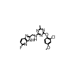 COc1ccc(Oc2nc(C)nc(NCc3nc4ccc(F)nc4[nH]3)n2)c(Cl)c1